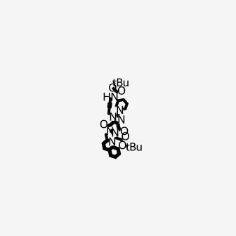 CC#CCn1c(N2CCC[C@@H](NC(=O)OC(C)(C)C)C2)nc2c(=O)n(CC(=O)OC(C)(C)C)n(Cc3ccc4ccccc4n3)c(=O)c21